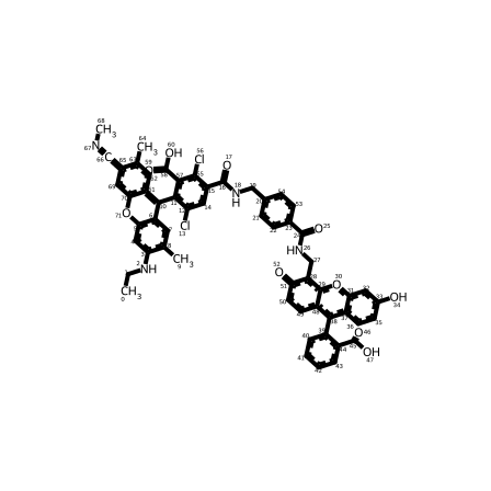 CCNc1cc2c(cc1C)C(c1c(Cl)cc(C(=O)NCc3ccc(C(=O)NCc4c5oc6cc(O)ccc6c(-c6ccccc6C(=O)O)c-5ccc4=O)cc3)c(Cl)c1C(=O)O)=c1cc(C)c(=C=NC)cc1O2